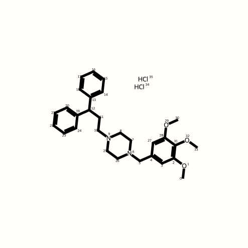 COc1cc(CN2CCN(CCC(c3ccccc3)c3ccccc3)CC2)cc(OC)c1OC.Cl.Cl